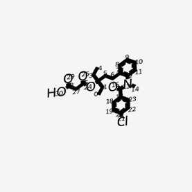 CCC(CC)(CCc1ccccc1N(C)C(=O)c1ccc(Cl)cc1)OC(=O)CC(=O)O